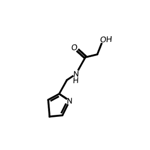 O=C(CO)NCC1=CCC=N1